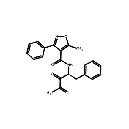 Cc1onc(-c2ccccc2)c1C(=O)N[C@@H](Cc1ccccc1)C(=O)C(N)=O